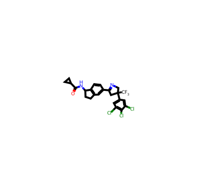 O=C(NC1CCc2cc(C3=NCC(c4cc(Cl)c(Cl)c(Cl)c4)(C(F)(F)F)C3)ccc21)C1CC1